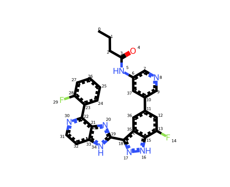 CCCC(=O)Nc1cncc(-c2cc(F)c3[nH]nc(-c4nc5c(-c6ccccc6F)nccc5[nH]4)c3c2)c1